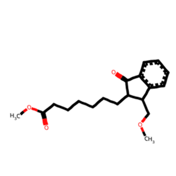 COCC1c2ccccc2C(=O)C1CCCCCCC(=O)OC